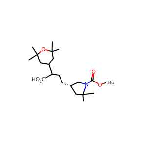 CC(C)(C)OC(=O)N1C[C@@H](CCC(C(=O)O)C2CC(C)(C)OC(C)(C)C2)CC1(C)C